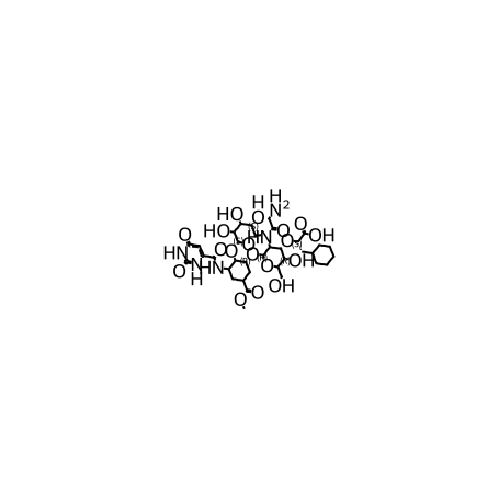 COC(=O)C1CC(NC(=O)c2cc(=O)[nH]c(=O)[nH]2)C(O[C@@H]2OC(C)[C@@H](O)C(O)C2O)[C@H](O[C@@H]2OC(CO)[C@H](O)C(O[C@@H](CC3CCCCC3)C(=O)O)C2NC(=O)CN)C1